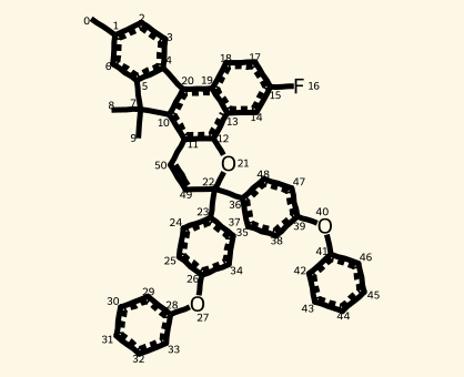 Cc1ccc2c(c1)C(C)(C)c1c3c(c4cc(F)ccc4c1-2)OC(c1ccc(Oc2ccccc2)cc1)(c1ccc(Oc2ccccc2)cc1)C=C3